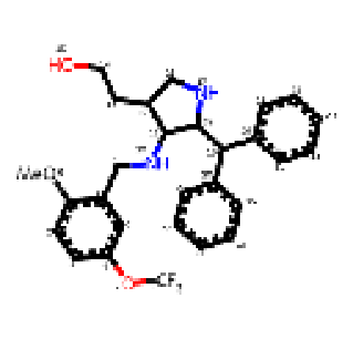 COc1ccc(OC(F)(F)F)cc1CNC1C(CCO)CNC1C(c1ccccc1)c1ccccc1